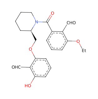 CCOc1cccc(C(=O)N2CCCC[C@@H]2COc2cccc(O)c2C=O)c1C=O